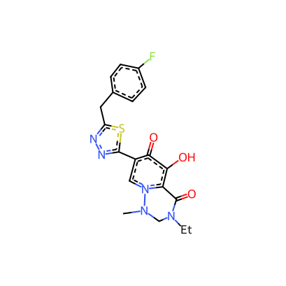 CCN1CN(C)n2cc(-c3nnc(Cc4ccc(F)cc4)s3)c(=O)c(O)c2C1=O